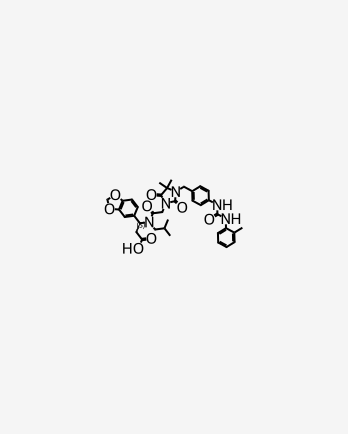 Cc1ccccc1NC(=O)Nc1ccc(CN2C(=O)N(CC(=O)N(CC(C)C)[C@@H](CC(=O)O)c3ccc4c(c3)OCO4)C(=O)C2(C)C)cc1